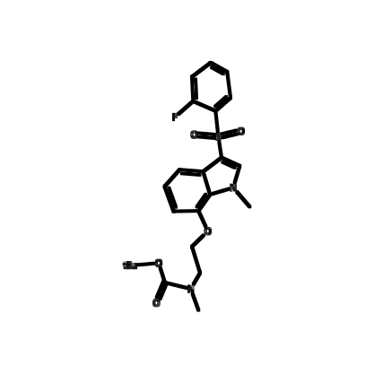 CN(CCOc1cccc2c(S(=O)(=O)c3ccccc3F)cn(C)c12)C(=O)OC(C)(C)C